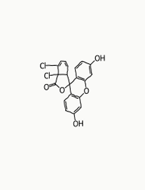 O=C1OC2(c3ccc(O)cc3Oc3cc(O)ccc32)C2C=CC=C(Cl)C12Cl